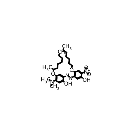 CCCCCCCOc1cc([N+](=O)[O-])c(O)cc1N=Nc1cc(OC(C)CCCCCC)c(N(C)C)cc1O